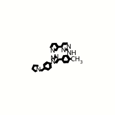 Cc1ccc(-c2cn(-c3ccc(CN4CCCC4)cc3)nn2)cc1Nc1nccc(-c2cccnc2)n1